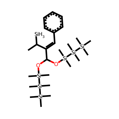 CC([SiH3])C(=Cc1ccccc1)C(O[Si](C)(C)[Si](C)(C)[Si](C)(C)C)O[Si](C)(C)[Si](C)(C)[Si](C)(C)C